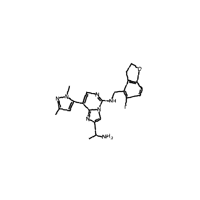 Cc1cc(-c2cnc(NCc3c(F)ccc4c3CCO4)n3cc(C(C)N)nc23)n(C)n1